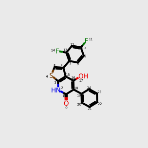 O=c1[nH]c2scc(-c3ccc(F)cc3F)c2c(O)c1-c1ccccc1